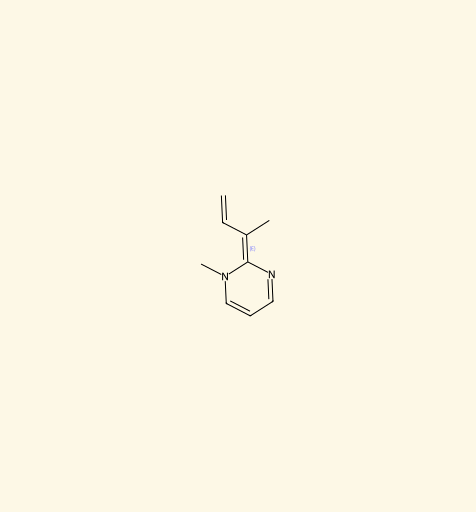 C=C/C(C)=C1/N=CC=CN1C